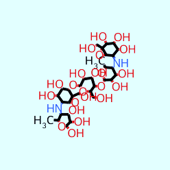 CC1OC(O)C(O)C(O)C1NC1C(O)C(O)C(OC2OC(CO)C(OC3OC(C)C(NC4C(O)C(O)C(O)C5(CO)OC45)C(O)C3O)C(O)C2O)C2(CO)OC12